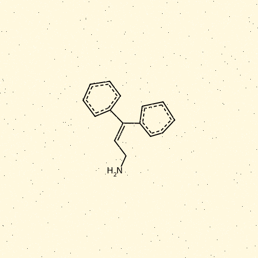 NCC=C(c1ccccc1)c1ccccc1